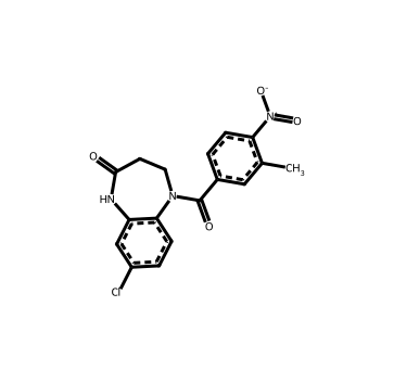 Cc1cc(C(=O)N2CCC(=O)Nc3cc(Cl)ccc32)ccc1[N+](=O)[O-]